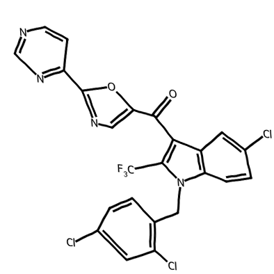 O=C(c1cnc(-c2ccncn2)o1)c1c(C(F)(F)F)n(Cc2ccc(Cl)cc2Cl)c2ccc(Cl)cc12